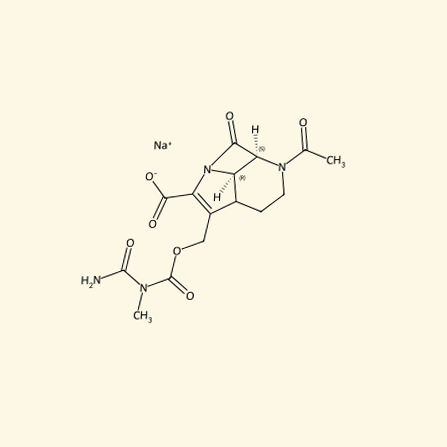 CC(=O)N1CCC2C(COC(=O)N(C)C(N)=O)=C(C(=O)[O-])N3C(=O)[C@@H]1[C@@H]23.[Na+]